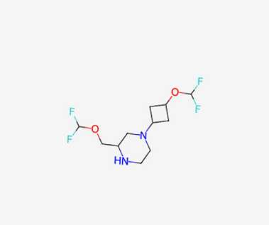 FC(F)OCC1CN(C2CC(OC(F)F)C2)CCN1